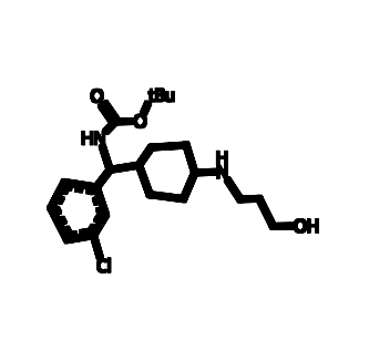 CC(C)(C)OC(=O)NC(c1cccc(Cl)c1)C1CCC(NCCCO)CC1